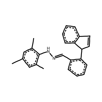 Cc1cc(C)c(NN=Cc2ccccc2C2C=Cc3ccccc32)c(C)c1